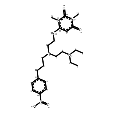 CCN(CC)CCN(CCCc1ccc([N+](=O)[O-])cc1)CCNc1cc(=O)n(C)c(=O)n1C